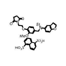 CCN(Cc1ccc(OCCN2C(=O)CCC2=O)c(OC)c1)c1ccc2c(c1)CCO2.O=S(=O)(O)c1cccc2c(S(=O)(=O)O)cccc12